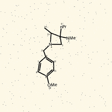 CCCC1(NC)CN(Cc2ccc(OC)cc2)C1C